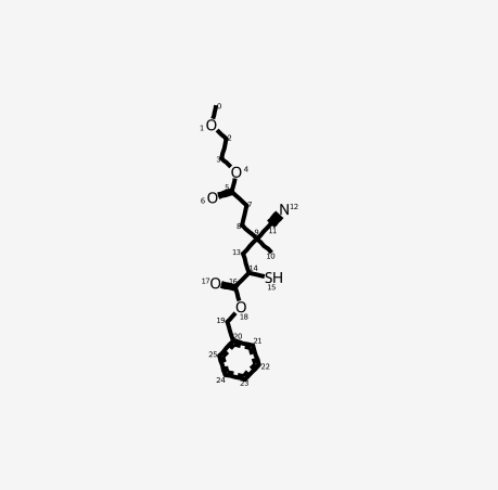 COCCOC(=O)CCC(C)(C#N)CC(S)C(=O)OCc1ccccc1